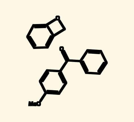 COc1ccc(C(=O)c2ccccc2)cc1.c1ccc2c(c1)CO2